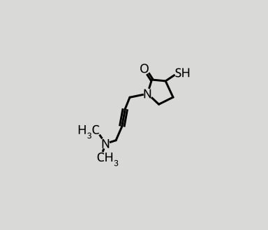 CN(C)CC#CCN1CCC(S)C1=O